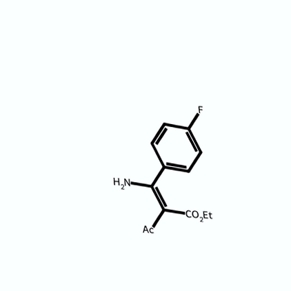 CCOC(=O)/C(C(C)=O)=C(/N)c1ccc(F)cc1